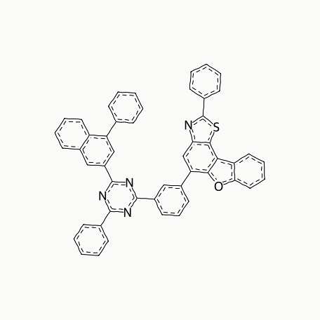 c1ccc(-c2nc(-c3cccc(-c4cc5nc(-c6ccccc6)sc5c5c4oc4ccccc45)c3)nc(-c3cc(-c4ccccc4)c4ccccc4c3)n2)cc1